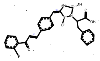 O=C(/C=C/c1ccc(/C=C2/N[C@H](S)N(C(Cc3ccccc3)C(=O)O)[S+]2[O-])cc1)c1ccccc1F